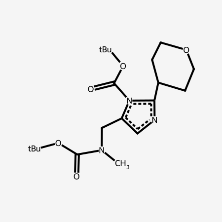 CN(Cc1cnc(C2CCOCC2)n1C(=O)OC(C)(C)C)C(=O)OC(C)(C)C